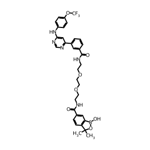 CC1(C)OB(O)c2cc(C(=O)NCCOCCOCCNC(=O)c3cccc(-c4cc(Nc5ccc(OC(F)(F)F)cc5)ncn4)c3)ccc21